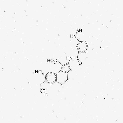 O=C(Nc1sc2c(c1C(=O)O)-c1cc(O)c(CC(F)(F)F)cc1CC2)c1cccc(NS)c1